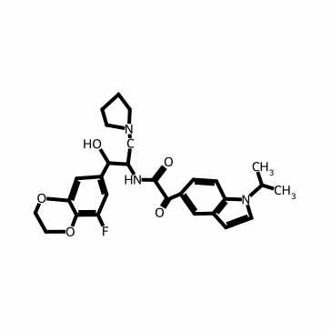 CC(C)n1ccc2cc(C(=O)C(=O)NC(CN3CCCC3)C(O)c3cc(F)c4c(c3)OCCO4)ccc21